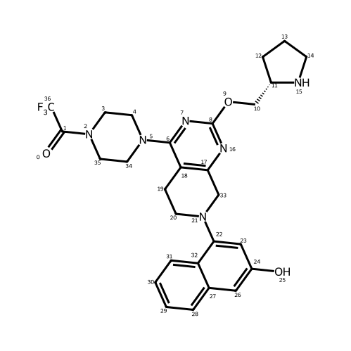 O=C(N1CCN(c2nc(OC[C@@H]3CCCN3)nc3c2CCN(c2cc(O)cc4ccccc24)C3)CC1)C(F)(F)F